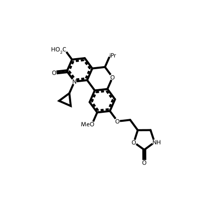 COc1cc2c(cc1OCC1CNC(=O)O1)OC(C(C)C)c1cc(C(=O)O)c(=O)n(C3CC3)c1-2